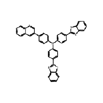 c1ccc2ncc(-c3ccc(N(c4ccc(-c5nc6ccccc6s5)cc4)c4ccc(-c5nc6ccccc6s5)cc4)cc3)cc2c1